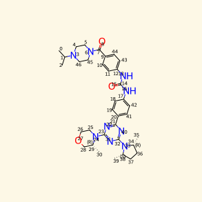 CC(C)N1CCN(C(=O)c2ccc(NC(=O)Nc3ccc(-c4nc(N5CCOC[C@H]5C)nc(N5[C@H](C)CC[C@@H]5C)n4)cc3)cc2)CC1